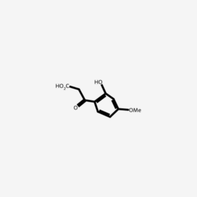 COc1ccc(C(=O)CC(=O)O)c(O)c1